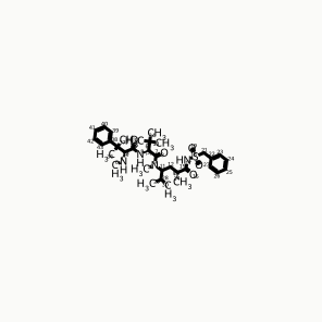 CN[C@H](C(=O)N[C@H](C(=O)N(C)C(C[C@@H](C)C(=O)NS(=O)(=O)Cc1ccccc1)C(C)C)C(C)(C)C)C(C)(C)c1ccccc1